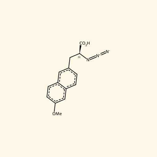 COc1ccc2cc(C[C@H](N=[N+]=[N-])C(=O)O)ccc2c1